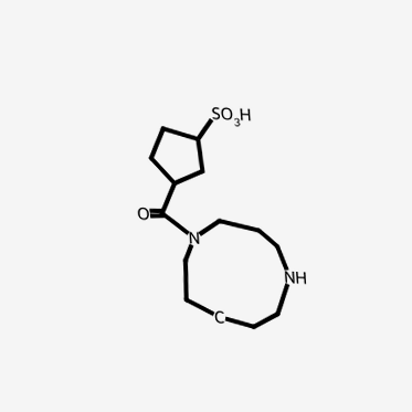 O=C(C1CCC(S(=O)(=O)O)C1)N1CCCCCNCCC1